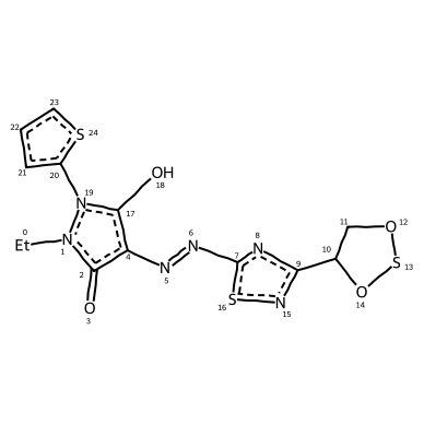 CCn1c(=O)c(N=Nc2nc(C3COSO3)ns2)c(O)n1-c1cccs1